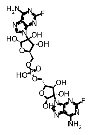 Nc1nc(F)nc2c1ncn2[C@]1(O)[C@H](O)[C@@H](COP(=O)(O)OC[C@H]2O[C@H](O)[C@](O)(n3cnc4c(N)nc(F)nc43)[C@@H]2O)O[C@@H]1O